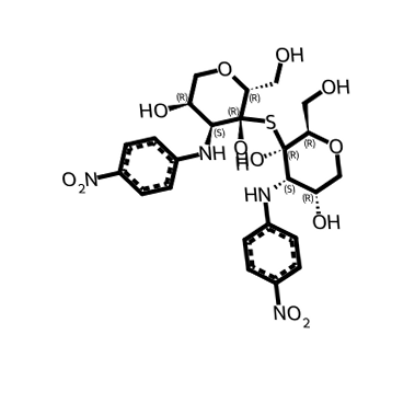 O=[N+]([O-])c1ccc(N[C@H]2[C@@H](O)CO[C@H](CO)[C@]2(O)S[C@@]2(O)[C@@H](CO)OC[C@H](O)[C@@H]2Nc2ccc([N+](=O)[O-])cc2)cc1